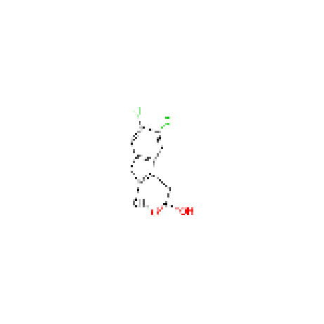 CC1=C(CC(=O)O)c2cc(Cl)c(Cl)cc2C1